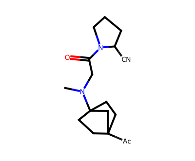 CC(=O)C12CCC(N(C)CC(=O)N3CCCC3C#N)(CC1)C2